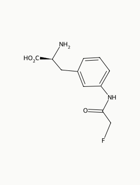 N[C@@H](Cc1cccc(NC(=O)CF)c1)C(=O)O